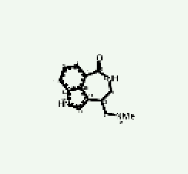 CNCC1CNC(=O)c2cccc3[nH]cc1c23